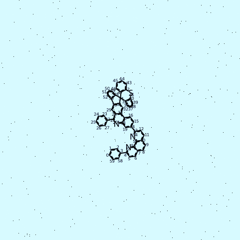 c1ccc(-c2ccc3ccc4ccc(-c5ccc6c(c5)nc(-c5ccccc5)c5cc7c(cc56)C5(c6ccccc6Sc6ccccc65)c5ccccc5-7)nc4c3n2)cc1